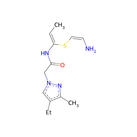 C/C=C(/NC(=O)Cn1cc(CC)c(C)n1)S/C=C\N